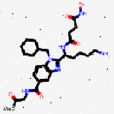 COC(=O)CNC(=O)c1ccc2c(c1)nc(C(CCCCN)NC(=O)CCC(=O)NO)n2CC1CCCCC1